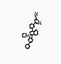 N#Cc1cncc(-c2cccc(-c3cc4c(c5ccccc35)c3ccc(-c5ccccc5)cc3n4-c3ccccc3)c2)c1